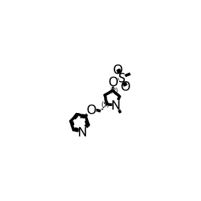 CN1C[C@H](OS(C)(=O)=O)C[C@H]1COc1cccnc1